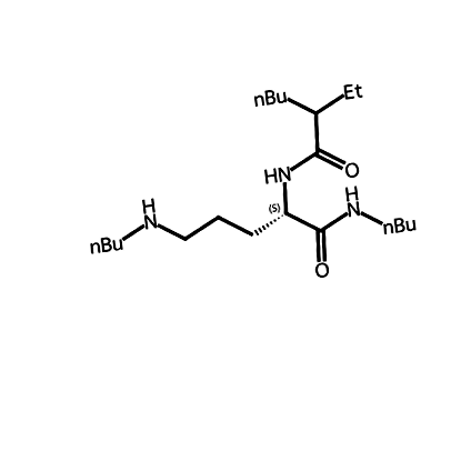 CCCCNCCC[C@H](NC(=O)C(CC)CCCC)C(=O)NCCCC